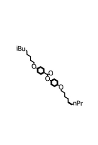 CCC/C=C\CCCCOc1ccc(OC(=O)c2ccc(OCCCCC[C@@H](C)CC)cc2)cc1